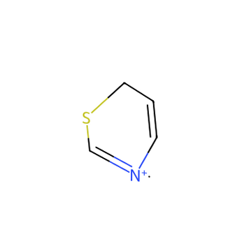 C1=C[N+]=CSC1